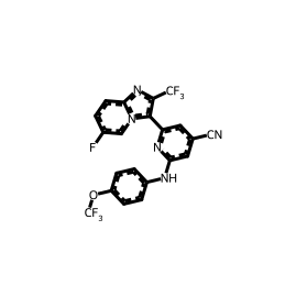 N#Cc1cc(Nc2ccc(OC(F)(F)F)cc2)nc(-c2c(C(F)(F)F)nc3ccc(F)cn23)c1